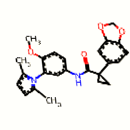 COc1ccc(NC(=O)C2(c3ccc4c(c3)OCO4)CC2)cc1-n1c(C)ccc1C